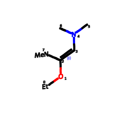 CCO/C(=C/N(C)C)NC